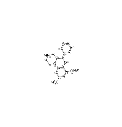 COc1cc(C)ccc1OC(c1ccccc1)C1CNCCO1